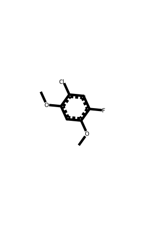 COc1cc(OC)c(Cl)[c]c1F